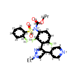 CCn1cc(-c2ccncc2)c(-c2c(F)ccc(N(C(=O)OC(C)C)S(=O)(=O)c3ccccc3F)c2F)n1